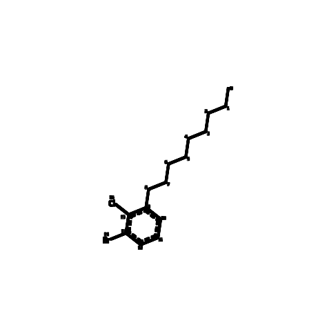 CCCCCCCCCc1cccc(Br)c1Cl